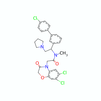 CN(C(=O)CN1C(=O)COc2cc(Cl)c(Cl)cc21)C(CN1CCCC1)c1cccc(-c2ccc(Cl)cc2)c1